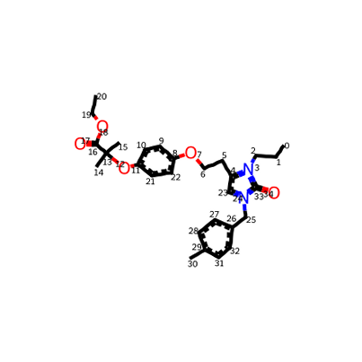 CCCn1c(CCOc2ccc(OC(C)(C)C(=O)OCC)cc2)cn(Cc2ccc(C)cc2)c1=O